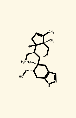 CC1=CC[C@H]2[C@H](CN)[C@@H]([C@@]3(C)Cc4cn[nH]c4C[C@@H]3CO)CC[C@]12C